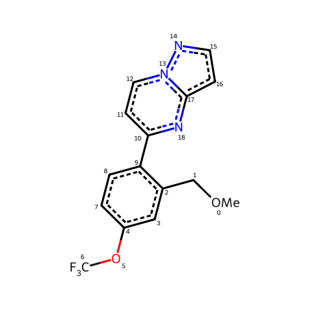 COCc1cc(OC(F)(F)F)ccc1-c1ccn2nccc2n1